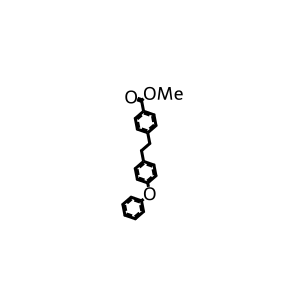 COC(=O)c1ccc(CCc2ccc(Oc3ccccc3)cc2)cc1